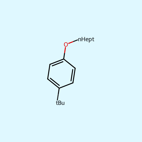 CCCCCCCOc1ccc(C(C)(C)C)cc1